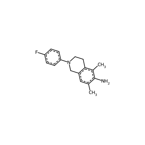 Cc1cc2c(c(C)c1N)CCN(c1ccc(F)cc1)C2